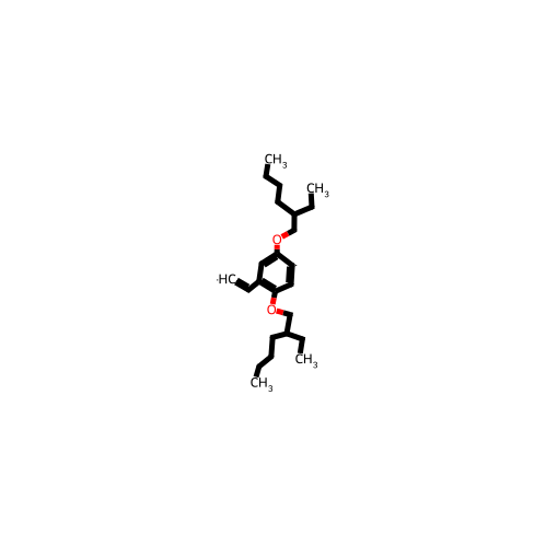 [CH]=Cc1cc(OCC(CC)CCCC)[c]cc1OCC(CC)CCCC